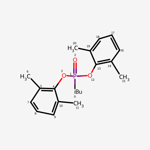 CCC(C)P(=O)(Oc1c(C)cccc1C)Oc1c(C)cccc1C